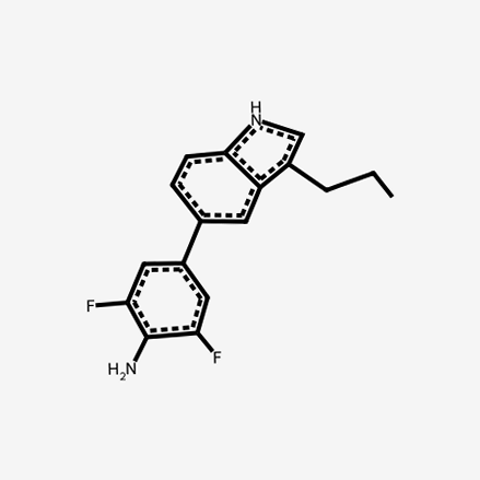 CCCc1c[nH]c2ccc(-c3cc(F)c(N)c(F)c3)cc12